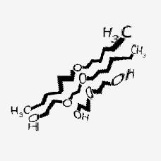 CCCCCCOCCCCCC.CCCCCCOCCOCCO.OCCOCCO